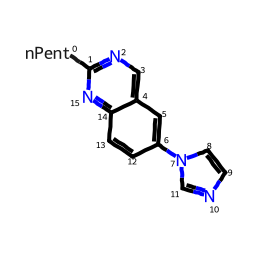 CCCCCc1ncc2cc(-n3ccnc3)ccc2n1